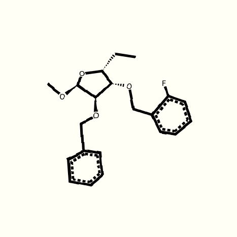 CC[C@H]1O[C@H](OC)[C@H](OCc2ccccc2)[C@H]1OCc1ccccc1F